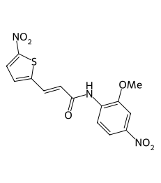 COc1cc([N+](=O)[O-])ccc1NC(=O)/C=C/c1ccc([N+](=O)[O-])s1